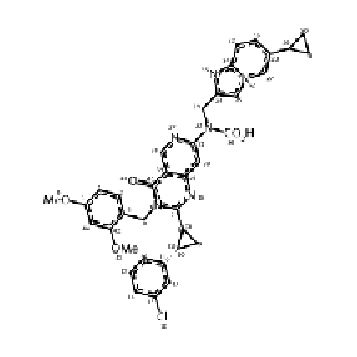 COc1ccc(Cn2c([C@H]3C[C@@H]3c3cccc(Cl)c3)nc3cc(N(Cc4cn5cc(C6CC6)ccc5n4)C(=O)O)ncc3c2=O)c(OC)c1